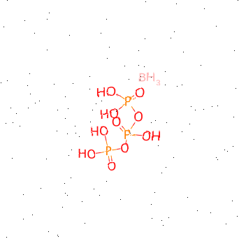 B.O=P(O)(O)OP(=O)(O)OP(=O)(O)O